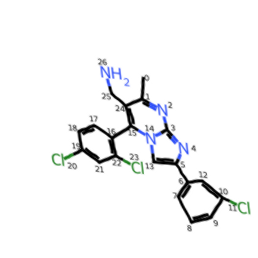 Cc1nc2nc(-c3cccc(Cl)c3)cn2c(-c2ccc(Cl)cc2Cl)c1CN